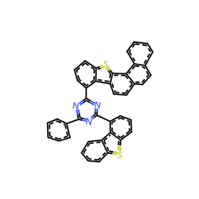 c1ccc(-c2nc(-c3cccc4sc5ccccc5c34)nc(-c3cccc4sc5c(ccc6ccc7ccccc7c65)c34)n2)cc1